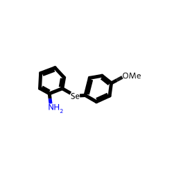 COc1ccc([Se]c2ccccc2N)cc1